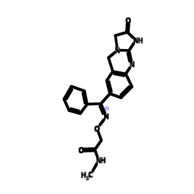 CNC(=O)CO/N=C(\c1ccccc1)c1ccc2c(c1)CN1CC(=O)NC1=N2